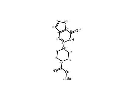 CC(C)(C)OC(=O)N1CCN(c2nc3ccsc3c(=O)[nH]2)CC1